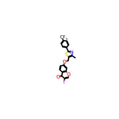 Cc1nc(-c2ccc(C(F)(F)F)cc2)sc1COc1ccc2c(=O)c(I)coc2c1